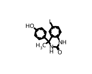 CC1(c2ccc(O)cc2)NC(=O)Nc2ccc(I)cc21